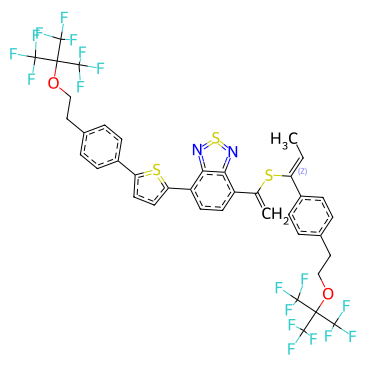 C=C(S/C(=C\C)c1ccc(CCOC(C(F)(F)F)(C(F)(F)F)C(F)(F)F)cc1)c1ccc(-c2ccc(-c3ccc(CCOC(C(F)(F)F)(C(F)(F)F)C(F)(F)F)cc3)s2)c2nsnc12